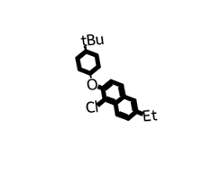 CCc1ccc2c(Cl)c(O[C@H]3CC[C@H](C(C)(C)C)CC3)ccc2c1